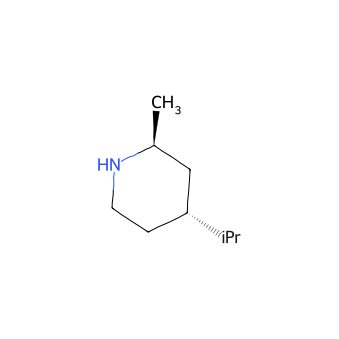 CC(C)[C@@H]1CCN[C@@H](C)C1